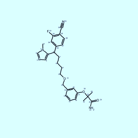 Cn1cncc1[C](CCCCOCc1cccc(OC(C)(C)C(N)=O)c1)c1ccc(C#N)c(F)c1